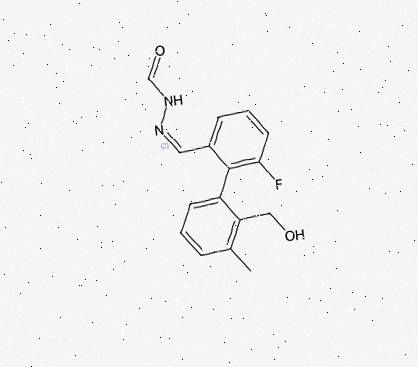 Cc1cccc(-c2c(F)cccc2/C=N\NC=O)c1CO